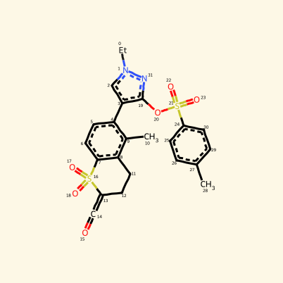 CCn1cc(-c2ccc3c(c2C)CCC(=C=O)S3(=O)=O)c(OS(=O)(=O)c2ccc(C)cc2)n1